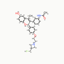 CC(=O)Nc1cccc(C2=C(C)c3cc(O)ccc3O[C@@H]2c2ccc(OCCN3CC(CF)C3)cc2)c1